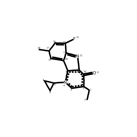 CCc1cn(C2CC2)c2c(c1=O)N=C1C(F)=CC(C)C=C12